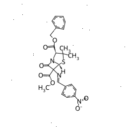 COC(=O)C1(/N=C/c2ccc([N+](=O)[O-])cc2)C(=O)N2[C@@H](C(=O)OCc3ccccc3)C(C)(C)S[C@@H]21